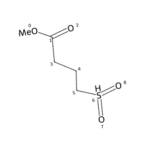 COC(=O)CCC[SH](=O)=O